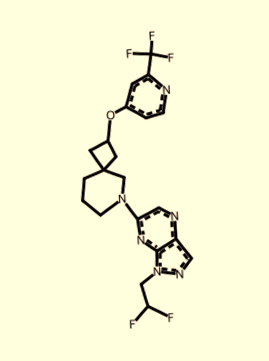 FC(F)Cn1ncc2ncc(N3CCCC4(CC(Oc5ccnc(C(F)(F)F)c5)C4)C3)nc21